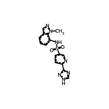 Cn1ncc2cccc(NS(=O)(=O)c3ccc(-c4nc[nH]n4)nc3)c21